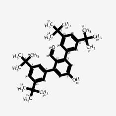 CC(C)(C)c1cc(-c2cc(O)cc(-c3cc(C(C)(C)C)cc(C(C)(C)C)c3)c2C=O)cc(C(C)(C)C)c1